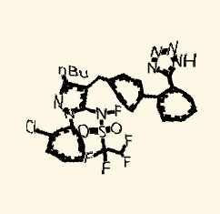 CCCCc1nn(-c2ccccc2Cl)c(N(F)S(=O)(=O)C(F)(F)C(F)F)c1Cc1ccc(-c2ccccc2-c2nnn[nH]2)cc1